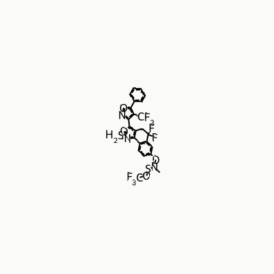 CN(Oc1ccc2c(c1)C(F)(F)Cc1c-2noc1-c1noc(-c2ccccc2)c1C(F)(F)F)SOC(F)(F)F.S